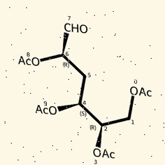 CC(=O)OC[C@@H](OC(C)=O)[C@H](C[C@H](C=O)OC(C)=O)OC(C)=O